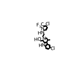 CC1CN(CCNc2ccc(Cl)c(C(F)(F)F)n2)C(CO)c2[nH]c3ccc(Cl)cc3c21